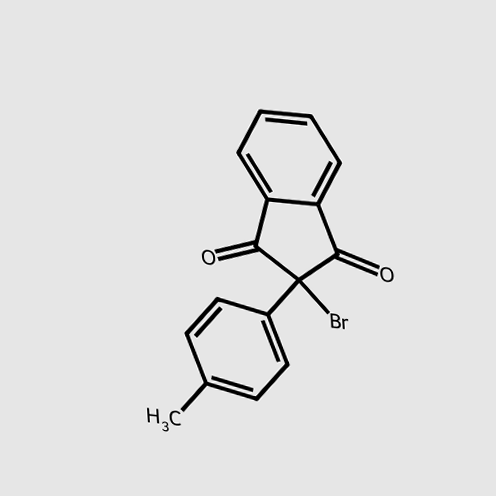 Cc1ccc(C2(Br)C(=O)c3ccccc3C2=O)cc1